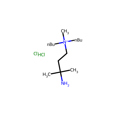 CCCC[N+](C)(CCCC)CCC(C)(C)N.Cl.[Cl-]